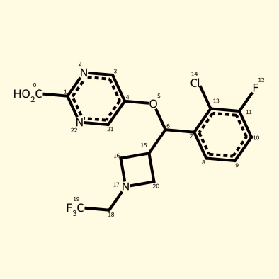 O=C(O)c1ncc(OC(c2cccc(F)c2Cl)C2CN(CC(F)(F)F)C2)cn1